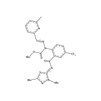 CCCCn1nc(C(C)(C)C)s/c1=N\C(=O)c1cc(C(F)(F)F)ccc1N(/N=C/c1cccc(C)n1)C(=O)OC(C)(C)C